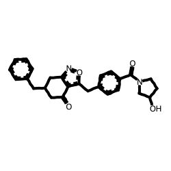 O=C1CC(Cc2ccccc2)Cc2noc(Cc3ccc(C(=O)N4CCC(O)C4)cc3)c21